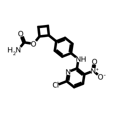 NC(=O)OC1CCC1c1ccc(Nc2nc(Cl)ccc2[N+](=O)[O-])cc1